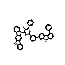 Ic1c(-c2ccccc2)nc(-c2cccc(-c3ccc4c(c3)oc3cccc(-c5ccccc5)c34)c2)nc1N1c2cc3c(cc2C2C=CC=CC21)oc1ccccc13